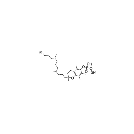 Cc1c(C)c2c(c(C)c1OP(=O)(O)OS)CCC(C)(CCCC(C)CCCC(C)CCCC(C)C)O2